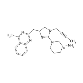 CC#CCN1CC(Cc2nc(C)c3ccccc3n2)N=C1N1CCC[C@@H](N)C1